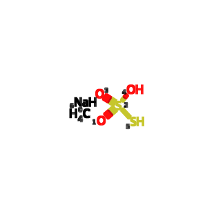 C.O=S(=O)(O)S.[NaH]